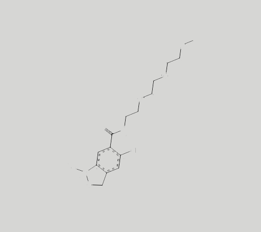 COCCOCCOCCOC(=O)c1cc2c(cc1Cl)COB2O